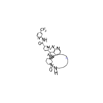 Nc1ncc2c3c1c(-c1ccc(C(=O)Nc4cc(C(F)(F)F)ccn4)cc1)nn3[C@@H]1CCC[C@H](C1)C(=O)NCCCC/C=C\C2